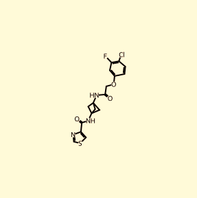 O=C(COc1ccc(Cl)c(F)c1)NC12CC(NC(=O)c3cscn3)(C1)C2